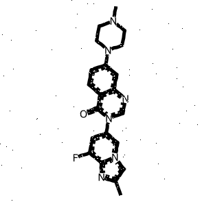 Cc1cn2cc(-n3cnc4cc(N5CCN(C)CC5)ccc4c3=O)cc(F)c2n1